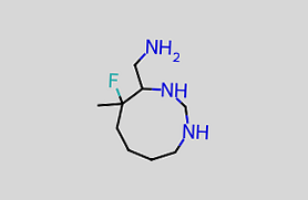 CC1(F)CCCCNCNC1CN